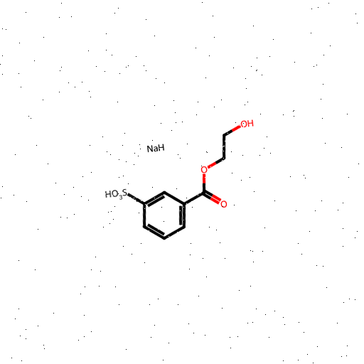 O=C(OCCO)c1cccc(S(=O)(=O)O)c1.[NaH]